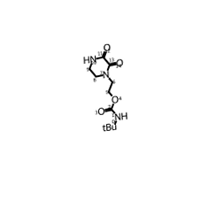 CC(C)(C)NC(=O)OCCN1CCNC(=O)C1=O